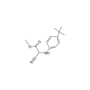 COC(=O)C(C#N)Nc1ccc(C(C)(C)C)cc1